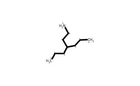 C[CH]CC(CCC)CCN